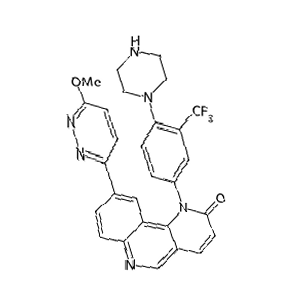 COc1ccc(-c2ccc3ncc4ccc(=O)n(-c5ccc(N6CCNCC6)c(C(F)(F)F)c5)c4c3c2)nn1